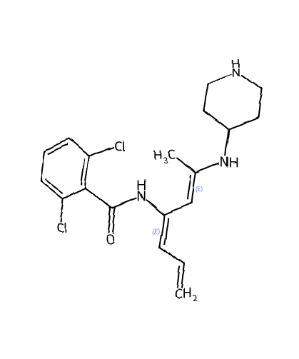 C=C/C=C(\C=C(/C)NC1CCNCC1)NC(=O)c1c(Cl)cccc1Cl